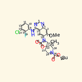 COc1cc2ncnc(Nc3cccc(Cl)c3F)c2cc1N1CC2(CCN(C(=O)OC(C)(C)C)CC2C)OC1=O